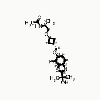 CC(=O)N[C@@H](C)CO[C@H]1C[C@H](COc2ccc3nc(C(C)(C)O)sc3c2F)C1